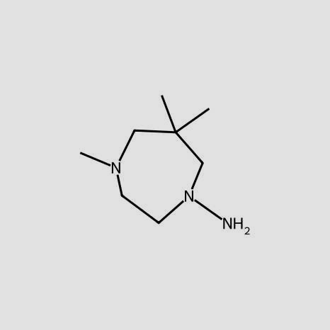 CN1CCN(N)CC(C)(C)C1